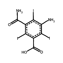 NC(=O)c1c(I)c(N)c(I)c(C(=O)O)c1I